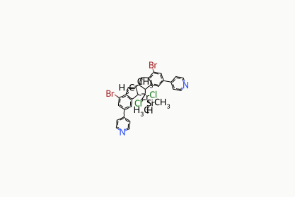 CC1=Cc2c(Br)cc(-c3ccncc3)cc2[CH]1[Zr]([Cl])([Cl])([CH]1C(C)=Cc2c(Br)cc(-c3ccncc3)cc21)[SiH](C)C